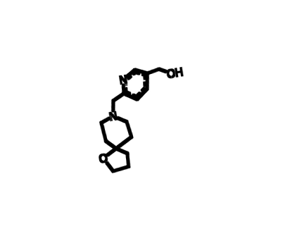 OCc1ccc(CN2CCC3(CCCO3)CC2)nc1